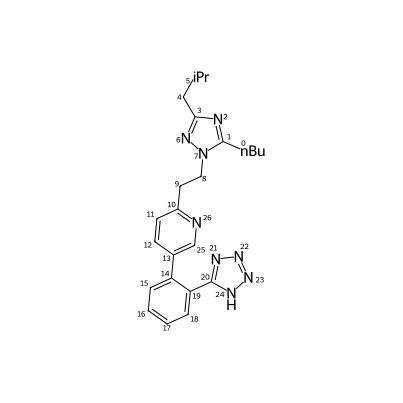 CCCCc1nc(CC(C)C)nn1CCc1ccc(-c2ccccc2-c2nnn[nH]2)cn1